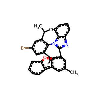 Cc1cc(-c2nc3ccccc3n2-c2c(C(C)C)cc(Br)cc2C(C)C)c2oc3ccccc3c2c1